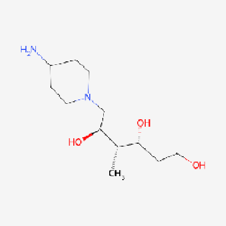 C[C@@H]([C@H](O)CCO)[C@@H](O)CN1CCC(N)CC1